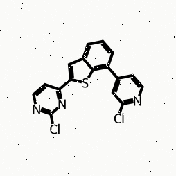 Clc1cc(-c2cccc3cc(-c4ccnc(Cl)n4)sc23)ccn1